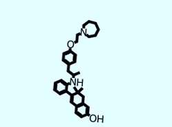 CC(Cc1ccc(OCCN2CCCCCC2)cc1)Nc1ccccc1C1=Cc2ccc(O)cc2CC1(C)C